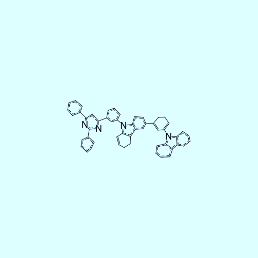 C1=Cc2c(c3cc(C4=CC(n5c6ccccc6c6ccccc65)=CCC4)ccc3n2-c2cccc(-c3cc(-c4ccccc4)nc(-c4ccccc4)n3)c2)CC1